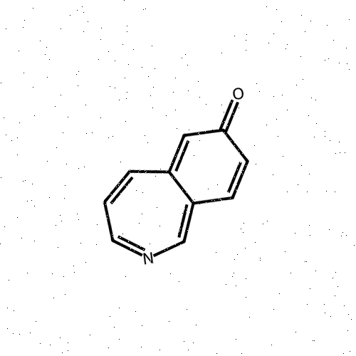 O=c1ccc2cncccc-2c1